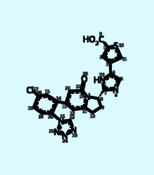 O=C(O)c1cc(-c2cnc([C@@H]3CCc4cc(-c5cc(Cl)ccc5-n5cnnn5)cc(=O)n43)[nH]2)cs1